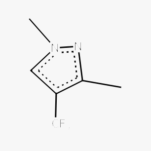 Cc1nn(C)cc1C(F)(F)F